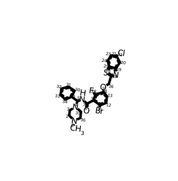 CN1CCN(C(NC(=O)c2c(Br)ccc(OCc3nc4cc(Cl)ccc4s3)c2F)c2ccccc2)CC1